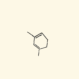 CC1=C[CH]CC(C)=C1